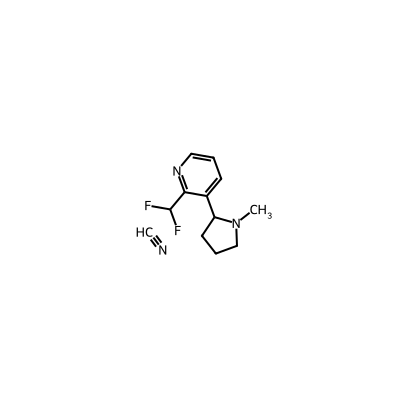 C#N.CN1CCCC1c1cccnc1C(F)F